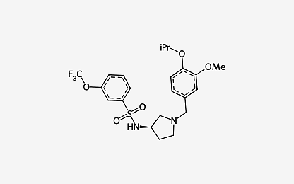 COc1cc(CN2CC[C@@H](NS(=O)(=O)c3cccc(OC(F)(F)F)c3)C2)ccc1OC(C)C